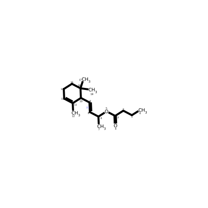 CCCC(=O)OC(C)/C=C/C1C(C)=CCCC1(C)C